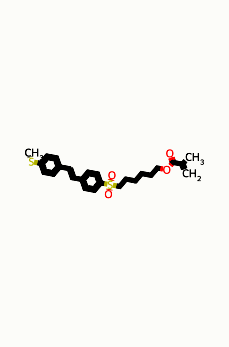 C=C(C)C(=O)OCCCCCCS(=O)(=O)c1ccc(/C=C/c2ccc(SC)cc2)cc1